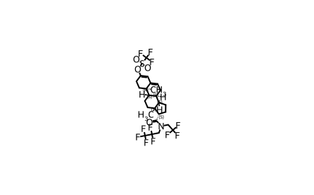 C[C@]12CC[C@H]3[C@@H](CC=C4C=C(OS(=O)(=O)C(F)(F)F)CC[C@@]43C)[C@@H]1CC[C@@H]2C(=O)N(CC(F)(F)F)CC(F)(F)C(F)(F)F